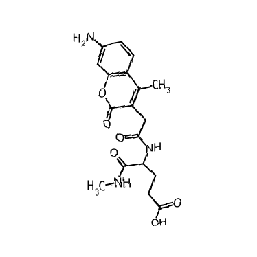 CNC(=O)C(CCC(=O)O)NC(=O)Cc1c(C)c2ccc(N)cc2oc1=O